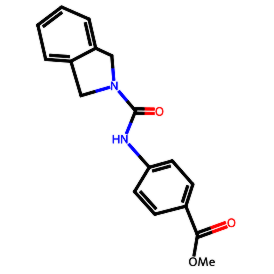 COC(=O)c1ccc(NC(=O)N2Cc3ccccc3C2)cc1